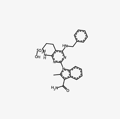 Cc1c(C(N)=O)c2ccccc2n1-c1nc2c(c(NCc3ccccc3)n1)CCCN2.O=S(=O)(O)O